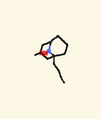 CCCCC12CCCC(CC(C)C1)N2O